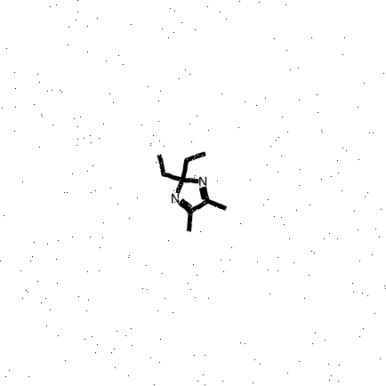 CCC1(CC)N=C(C)C(C)=N1